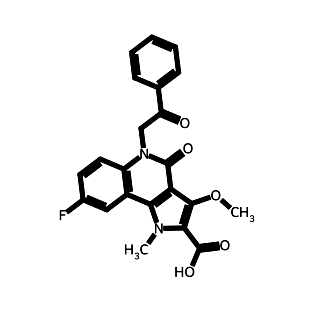 COc1c(C(=O)O)n(C)c2c1c(=O)n(CC(=O)c1ccccc1)c1ccc(F)cc21